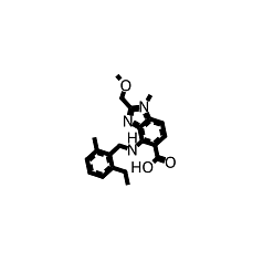 CCc1cccc(C)c1CNc1c(C(=O)O)ccc2c1nc(COC)n2C